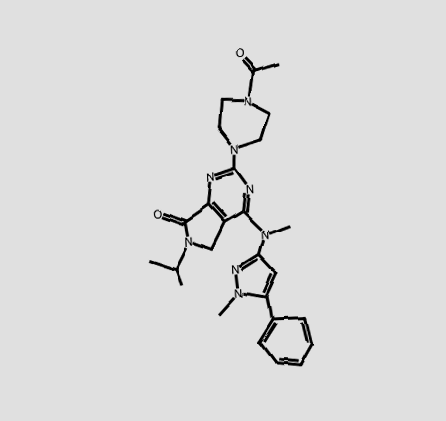 CC(=O)N1CCN(c2nc3c(c(N(C)c4cc(-c5ccccc5)n(C)n4)n2)CN(C(C)C)C3=O)CC1